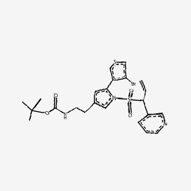 C=CC(c1cccnc1)S(=O)(=O)n1cc(CCNC(=O)OC(C)(C)C)cc1-c1cscc1Br